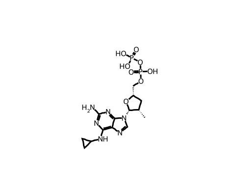 C[C@H]1C[C@@H](COP(=O)(O)OP(=O)(O)O)O[C@H]1n1cnc2c(NC3CC3)nc(N)nc21